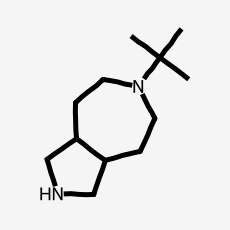 CC(C)(C)N1CCC2CNCC2CC1